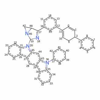 C1=CC(c2ccccc2)CC=C1c1cccc(C2=NC(n3c4ccccc4c4cc5c6ccccc6n(-c6ccccc6)c5cc43)N3CC23)c1